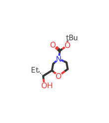 CC[C@@H](O)C1CN(C(=O)OC(C)(C)C)CCO1